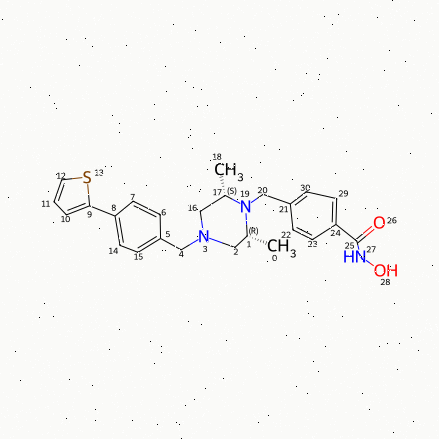 C[C@@H]1CN(Cc2ccc(-c3cccs3)cc2)C[C@H](C)N1Cc1ccc(C(=O)NO)cc1